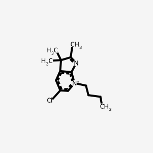 CCCC[n+]1cc(Cl)cc2c1N=C(C)C2(C)C